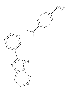 O=C(O)c1ccc(NCc2cccc(-c3nc4ccccc4[nH]3)c2)cc1